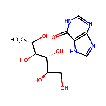 O=C(O)[C@H](O)[C@@H](O)[C@H](O)[C@H](O)CO.O=c1[nH]cnc2nc[nH]c12